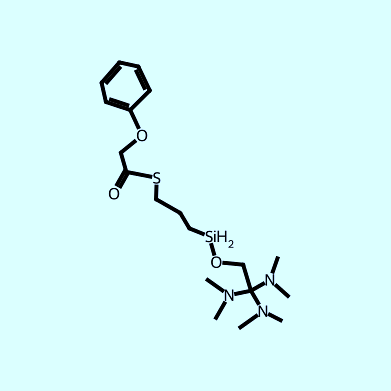 CN(C)C(CO[SiH2]CCCSC(=O)COc1ccccc1)(N(C)C)N(C)C